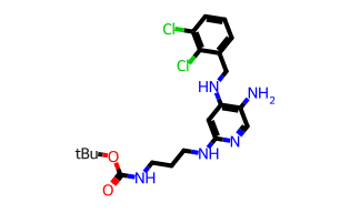 CC(C)(C)OC(=O)NCCCNc1cc(NCc2cccc(Cl)c2Cl)c(N)cn1